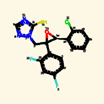 Fc1ccc(C2(Cn3ncnc3S)O[C@H]2c2ccccc2Cl)c(F)c1